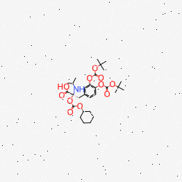 CC(C)N[C@@](Cc1ccc(OC(=O)OC(C)(C)C)c(OC(=O)OC(C)(C)C)c1)(OC(=O)OC1CCCCC1)C(=O)O